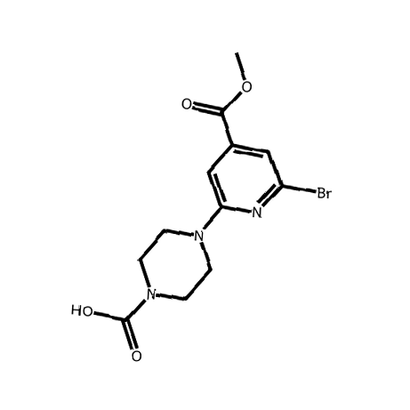 COC(=O)c1cc(Br)nc(N2CCN(C(=O)O)CC2)c1